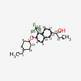 CCC1CCC(Oc2ccc3cc(C(O)CC)ccc3c2C(F)(F)F)CC1